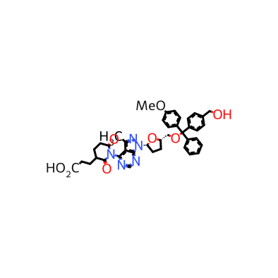 COc1ccc(C(OC[C@@H]2CC[C@H](n3nc(C)c4c(N5C(=O)CCC(CCC(=O)O)C5=O)ncnc43)O2)(c2ccccc2)c2ccc(CO)cc2)cc1